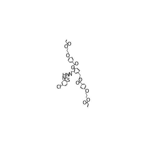 C=CC(=O)OCCCOc1ccc(C(=O)OCCc2ccc(OC(=O)c3ccc(OCCCOC(=O)C=C)cc3)c(/C=N/Nc3nc4cc(Cl)ccc4s3)c2)cc1